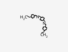 C=CCc1ccc(C=NCc2ccc(CN=Cc3ccc(CC=C)cc3)cc2)cc1